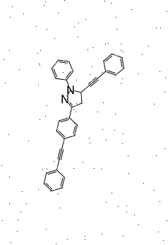 C(#Cc1ccc(C2=NN(c3ccccc3)C(C#Cc3ccccc3)C2)cc1)c1ccccc1